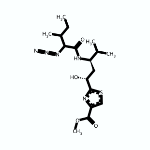 CCC(C)C(N=[N+]=[N-])C(=O)N[C@H](C[C@@H](O)c1nc(C(=O)OC)cs1)C(C)C